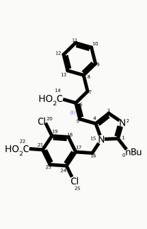 CCCCc1ncc(/C=C(\Cc2ccccc2)C(=O)O)n1Cc1cc(Cl)c(C(=O)O)cc1Cl